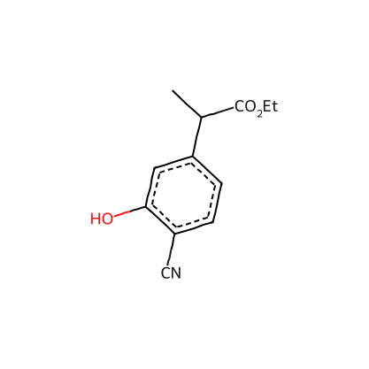 CCOC(=O)C(C)c1ccc(C#N)c(O)c1